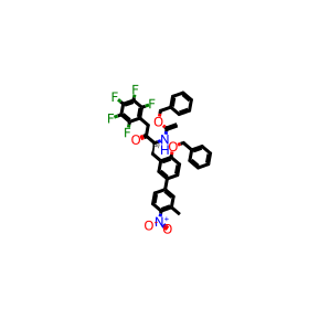 C=C(N[C@@H](Cc1cc(-c2ccc([N+](=O)[O-])c(C)c2)ccc1OCc1ccccc1)C(=O)Cc1c(F)c(F)c(F)c(F)c1F)OCc1ccccc1